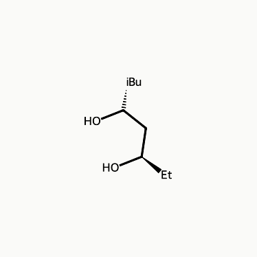 CC[C@@H](O)CC(O)[C@@H](C)CC